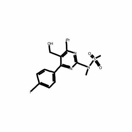 CC(C)c1nc(N(C)S(C)(=O)=O)nc(-c2ccc(I)cc2)c1CO